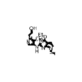 CCOc1nc(Nc2cnn(CCO)c2C)nc2c1ccn2SI